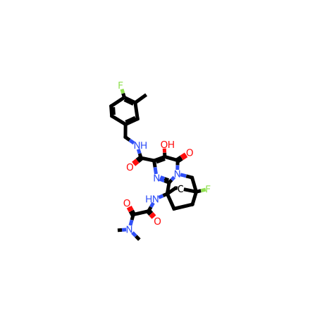 Cc1cc(CNC(=O)c2nc3n(c(=O)c2O)CC2(F)CCC3(NC(=O)C(=O)N(C)C)CC2)ccc1F